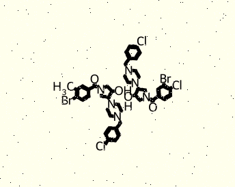 Cc1cc(C(=O)N2CC(O)C(N3CCN(Cc4ccc(Cl)cc4)CC3)C2)ccc1Br.O=C(c1ccc(Cl)c(Br)c1)N1CC(O)C(N2CCN(Cc3ccc(Cl)cc3)CC2)C1